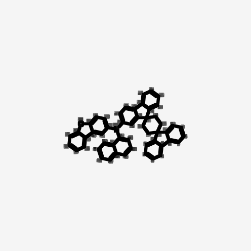 c1ccc2c(c1)-c1ccccc1C21CCC2(CC1)c1ccccc1-c1ccc(N(c3ccc4oc5ccccc5c4c3)c3cccc4ccccc34)cc12